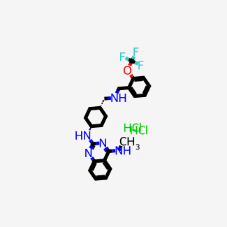 CNc1nc(N[C@H]2CC[C@@H](CNCc3ccccc3OC(F)(F)F)CC2)nc2ccccc12.Cl.Cl